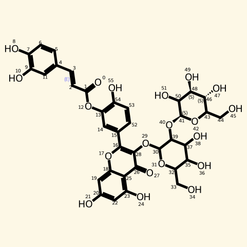 O=C(/C=C/c1ccc(O)c(O)c1)Oc1cc(-c2oc3cc(O)cc(O)c3c(=O)c2OC2OC(CO)C(O)C(O)C2O[C@@H]2OC(CO)[C@@H](O)[C@H](O)C2O)ccc1O